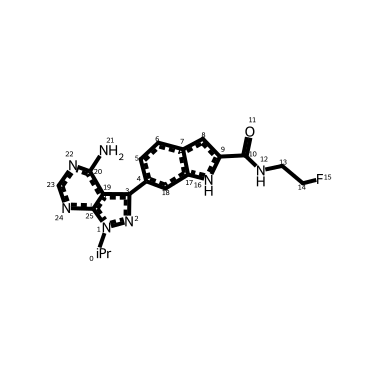 CC(C)n1nc(-c2ccc3cc(C(=O)NCCF)[nH]c3c2)c2c(N)ncnc21